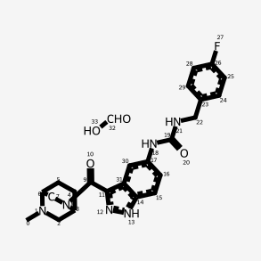 CN1CC2CCC1CN2C(=O)c1n[nH]c2ccc(NC(=O)NCc3ccc(F)cc3)cc12.O=CO